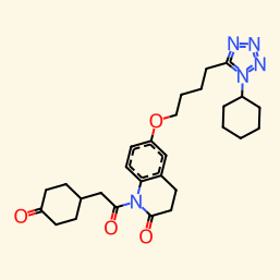 O=C1CCC(CC(=O)N2C(=O)CCc3cc(OCCCCc4nnnn4C4CCCCC4)ccc32)CC1